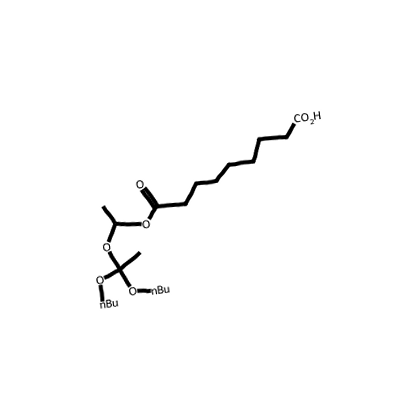 CCCCOC(C)(OCCCC)OC(C)OC(=O)CCCCCCCC(=O)O